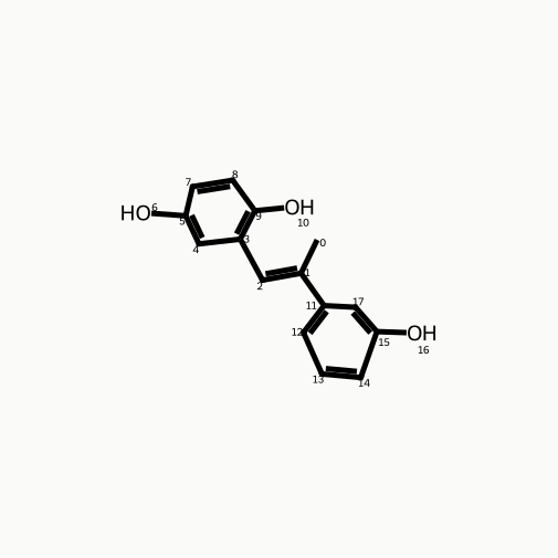 CC(=Cc1cc(O)ccc1O)c1cccc(O)c1